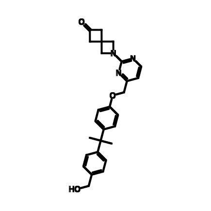 CC(C)(c1ccc(CO)cc1)c1ccc(OCc2ccnc(N3CC4(CC(=O)C4)C3)n2)cc1